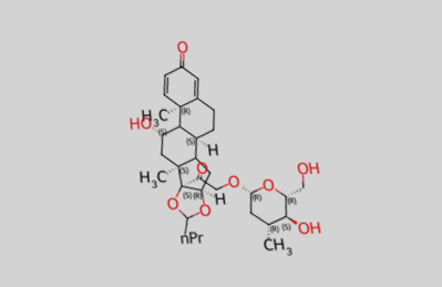 CCCC1O[C@@H]2CC3[C@@H]4CCC5=CC(=O)C=C[C@]5(C)C4[C@@H](O)C[C@]3(C)[C@]2(C(=O)CO[C@H]2C[C@@H](C)[C@H](O)[C@@H](CO)O2)O1